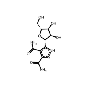 NC(=O)c1n[nH]c([C@@H]2O[C@H](CO)[C@@H](O)[C@H]2O)c1C(N)=O